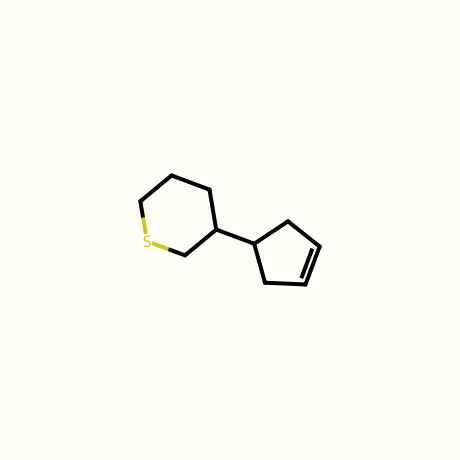 C1=CCC(C2CCCSC2)C1